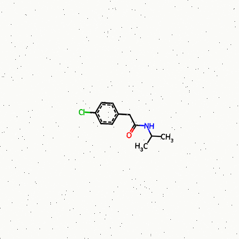 CC(C)NC(=O)Cc1ccc(Cl)cc1